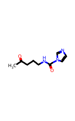 CC(=O)CCCNC(=O)n1ccnc1